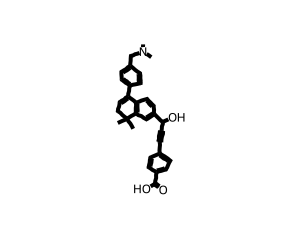 CN(C)Cc1ccc(C2=CCC(C)(C)c3cc(C(O)C#Cc4ccc(C(=O)O)cc4)ccc32)cc1